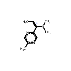 C/C=C(\c1cnc(C)cn1)N(C)C